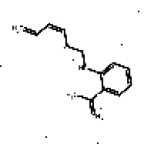 C=C/C=C\CCPc1ccccc1C(=C)C